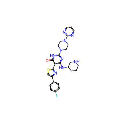 O=c1[nH]c(N2CCN(c3ncccn3)CC2)nc(N[C@@H]2CCCNC2)c1-c1nc(-c2ccc(F)cc2)cs1